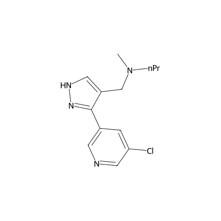 CCCN(C)Cc1c[nH]nc1-c1cncc(Cl)c1